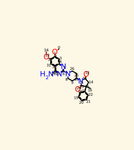 COc1cc2nc(N3CCC(N4C(=O)CC(C)(c5ccccc5)C4=O)CC3)nc(N)c2cc1OC